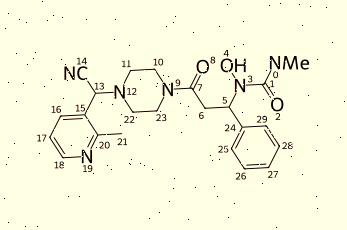 CNC(=O)N(O)C(CC(=O)N1CCN(C(C#N)c2cccnc2C)CC1)c1ccccc1